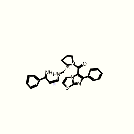 N=C(/C=C\NC[C@@H]1CCCN1C(=O)c1c(-c2ccccc2)nc2sccn12)c1ccccc1